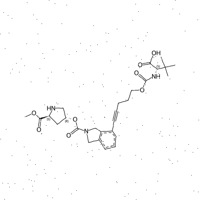 COC(=O)[C@@H]1C[C@@H](OC(=O)N2Cc3cccc(C#CCCCOC(=O)N[C@H](C(=O)O)C(C)(C)C)c3C2)CN1